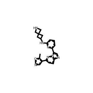 Cc1oncc1-c1ccc2ncc(-c3cccc(NC4CC5(CNC5)C4)n3)n2n1